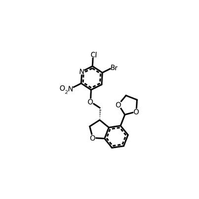 O=[N+]([O-])c1nc(Cl)c(Br)cc1OC[C@H]1COc2cccc(C3OCCO3)c21